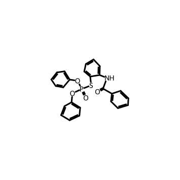 O=C(Nc1ccccc1SP(=O)(Oc1ccccc1)Oc1ccccc1)c1ccccc1